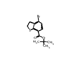 CC(C)(C)OC(=O)c1ccc(Br)c2c1SCC2